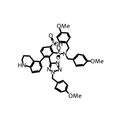 COc1ccc(CN(Cc2ccc(OC)cc2)S(=O)(=O)c2c(S(=O)O)ccc(-c3cccc4c3CCCN4)c2-c2nnn(Cc3ccc(OC)cc3)n2)cc1